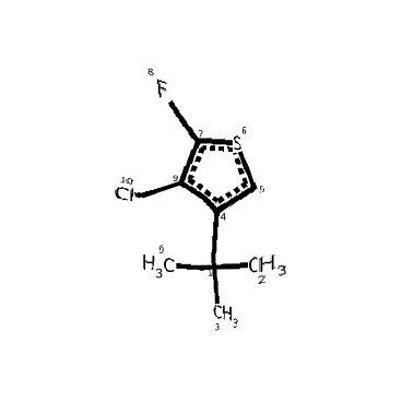 CC(C)(C)c1csc(F)c1Cl